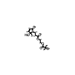 CC(C)(Br)C(=O)OCCOC(=O)CCN1C(=O)C=CC1(C)O